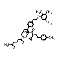 Cc1ccc(CCN(C(=O)C2=C(c3ccc(CCOc4cc(C)cc(C)c4C)cc3)CC3CN(C(=O)CCCC(N)=O)CC2N3)C2CC2)cc1